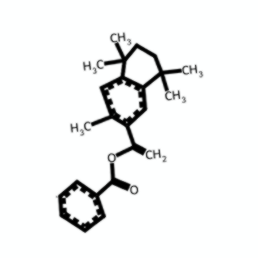 C=C(OC(=O)c1c[c]ccc1)c1cc2c(cc1C)C(C)(C)CCC2(C)C